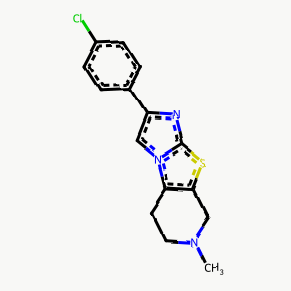 CN1CCc2c(sc3nc(-c4ccc(Cl)cc4)cn23)C1